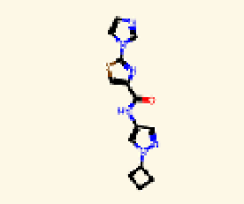 O=C(Nc1cnn(C2CCC2)c1)c1csc(-n2ccnc2)n1